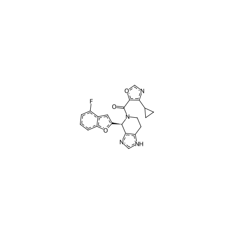 O=C(c1ocnc1C1CC1)N1CCc2[nH]cnc2[C@H]1c1cc2c(F)cccc2o1